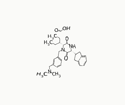 CCC(CC)[C@@H]1C(=O)N[C@H](C2Cc3ccccc3C2)C(=O)N1Cc1cccc(CN(C)C)c1.O=CO